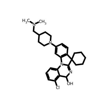 CN(C)CC1CCN(c2ccc3c(c2)N2C(=NC(O)c4c(Cl)cccc42)C32CCCCC2)CC1